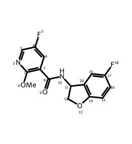 COc1ncc(F)cc1C(=O)NC1COc2ccc(F)cc21